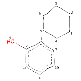 C1CCCCC1.Oc1ccccc1